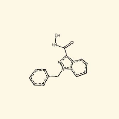 O=C(NO)c1nn(Cc2ccccc2)c2ccccc12